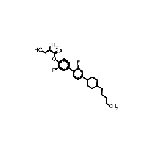 C=C(CO)C(=O)Oc1ccc(-c2ccc(C3CCC(CCCCC)CC3)cc2F)cc1F